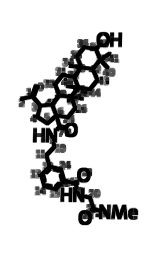 C=C(C)C1CCC2(C(=O)NCCc3cccc(C(=O)NCC(=O)NC)c3)CC[C@]3(C)C(CCC4C5(C)CCC(O)C(C)(C)C5CCC43C)C12